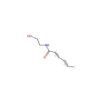 C/C=C/C=C/C(=O)NCCO